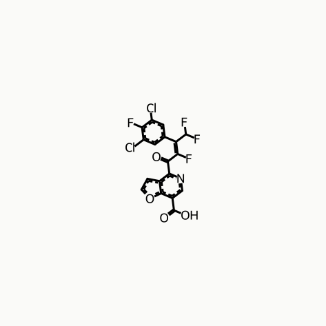 O=C(/C(F)=C(\c1cc(Cl)c(F)c(Cl)c1)C(F)F)c1ncc(C(=O)O)c2occc12